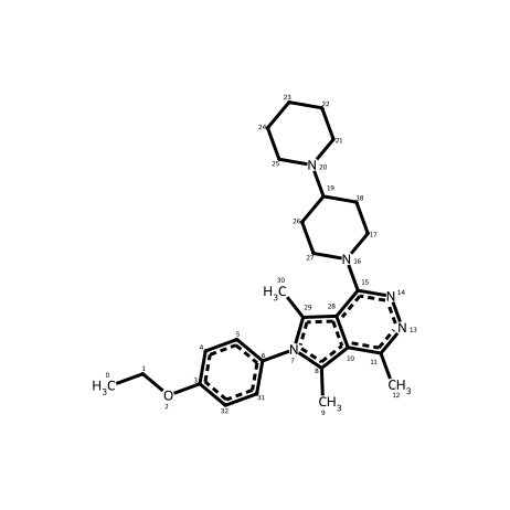 CCOc1ccc(-n2c(C)c3c(C)nnc(N4CCC(N5CCCCC5)CC4)c3c2C)cc1